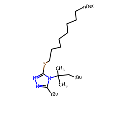 CCCCCCCCCCCCCCCCCCSc1nnc(C(C)(C)C)n1C(C)(C)CC(C)(C)C